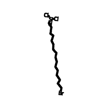 Cl[SiH](Cl)CCCCCCCCCCCCCCCCBr